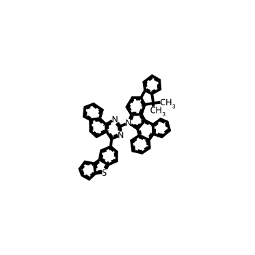 CC1(C)c2ccccc2-c2ccc3c(c21)c1c2ccccc2c2ccccc2c1n3-c1nc(-c2ccc3sc4ccccc4c3c2)c2ccc3ccccc3c2n1